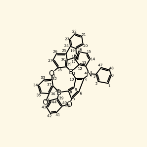 c1ccc(N2c3cc4c5cc3B3c6c2cccc6-n2c6ccccc6c6ccc(c3c62)Oc2cccc3c2B5c2c(cccc2O3)O4)cc1